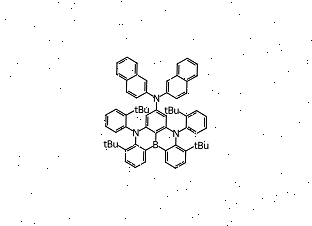 CC(C)(C)c1ccccc1N1c2cc(N(c3ccc4ccccc4c3)c3ccc4ccccc4c3)cc3c2B(c2cccc(C(C)(C)C)c21)c1cccc(C(C)(C)C)c1N3c1ccccc1C(C)(C)C